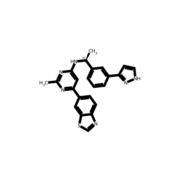 Cc1nc(N[C@@H](C)c2cccc(-c3cc[nH]n3)c2)cc(-c2ccc3ncsc3c2)n1